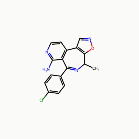 CC1N=C(c2ccc(Cl)cc2)c2c(ccnc2N)-c2cnoc21